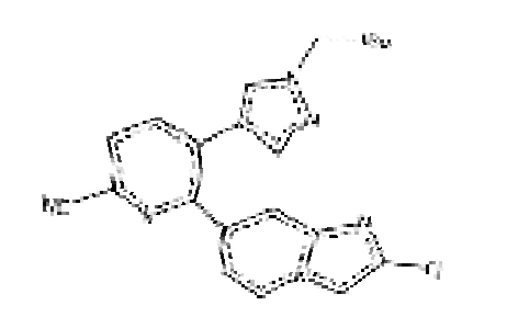 CC(C)(C)Cn1cc(-c2ccc(C#N)nc2-c2ccn3cc(Cl)nc3c2)cn1